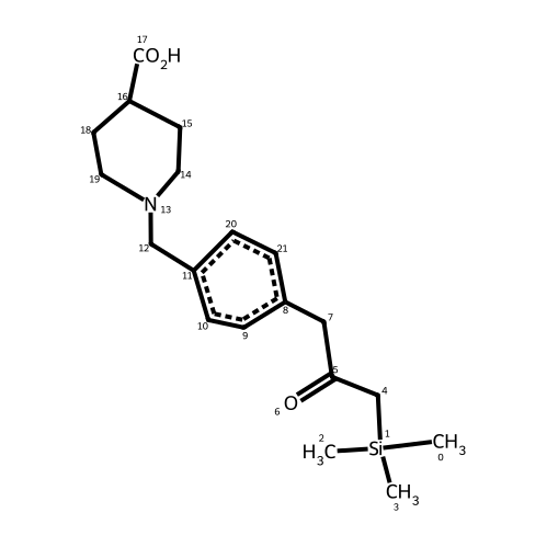 C[Si](C)(C)CC(=O)Cc1ccc(CN2CCC(C(=O)O)CC2)cc1